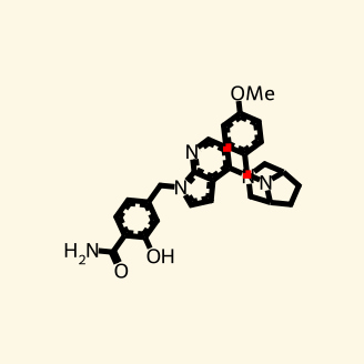 COc1ccc(CN2C3CCC2CN(c2ccnc4c2ccn4Cc2ccc(C(N)=O)c(O)c2)C3)cc1